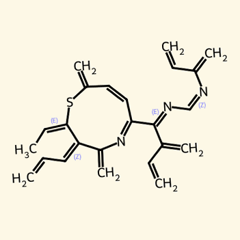 C=C/C=c1/c(=C)nc(/C(=N/C=N\C(=C)C=C)C(=C)C=C)ccc(=C)s/c1=C/C